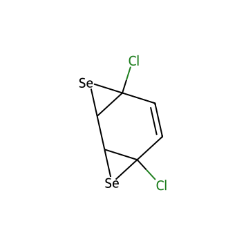 ClC12C=CC3(Cl)[Se]C3C1[Se]2